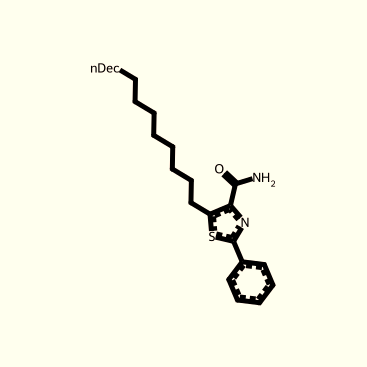 CCCCCCCCCCCCCCCCCCc1sc(-c2ccccc2)nc1C(N)=O